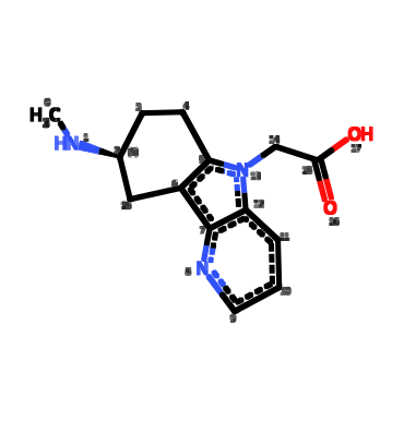 CN[C@H]1CCc2c(c3ncccc3n2CC(=O)O)C1